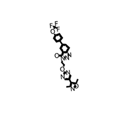 Cc1noc(C)c1-c1cnc(OCCn2nnc3ccc(-c4ccc(OC(F)(F)F)cc4)cc3c2=O)nc1